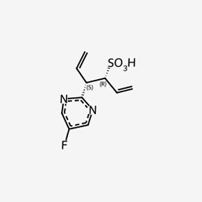 C=C[C@H]([C@@H](C=C)c1ncc(F)cn1)S(=O)(=O)O